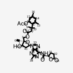 C#C[C@]1(COC(=O)CC(C)(C)c2c(C)cc(C)cc2OC(C)=O)O[C@@H](n2cnc3c(NC(=O)[C@H]4CCC(=O)O4)nc(C)nc32)C[C@@H]1O